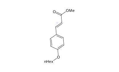 [CH2]CCCCCOc1ccc(/C=C/C(=O)OC)cc1